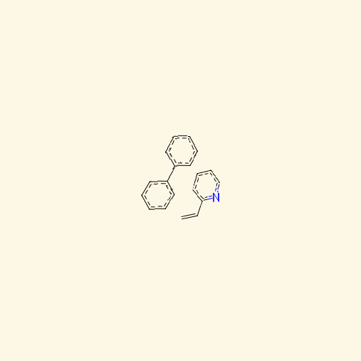 C=Cc1ccccn1.c1ccc(-c2ccccc2)cc1